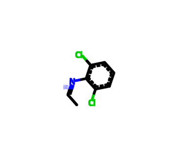 C/C=N\c1c(Cl)cccc1Cl